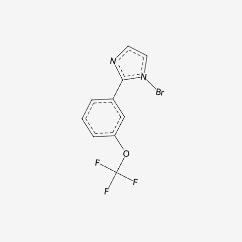 FC(F)(F)Oc1cccc(-c2nccn2Br)c1